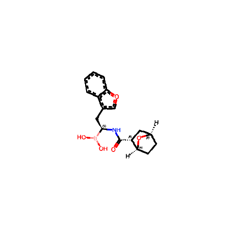 O=C(N[C@H](Cc1coc2ccccc12)B(O)O)[C@@H]1C[C@H]2CC[C@@H]1O2